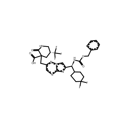 O=C(N[C@H](c1cn2nc(CC3(C(=O)O)C[C@@H](C(F)(F)F)CNC3=O)cnc2n1)C1CCC(F)(F)CC1)OCc1ccccc1